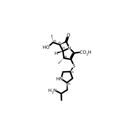 CC(N)C[C@@H]1C[C@H](SC2=C(C(=O)O)N3C(=O)[C@H]([C@@H](C)O)[C@H]3[C@H]2C)CN1